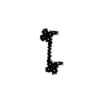 Oc1ccc(C2(c3ccc(OCCCCCCCCCCOc4ccc(C5(c6ccc(O)cc6)c6ccccc6-c6ccccc65)cc4)cc3)c3ccccc3-c3ccccc32)cc1